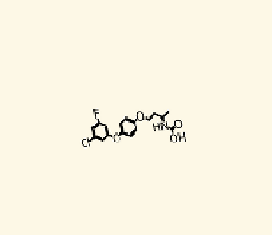 CC(CCOc1ccc(Oc2cc(F)cc(Cl)c2)cc1)NC(=O)O